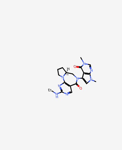 CCNc1ncc2c(n1)N1CCC[C@H]1CN(c1cn(C)c3ncn(C)c(=O)c13)C2=O